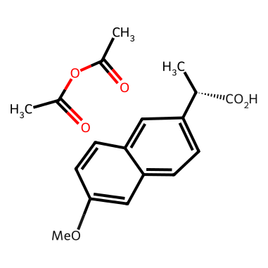 CC(=O)OC(C)=O.COc1ccc2cc([C@H](C)C(=O)O)ccc2c1